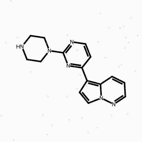 c1cnn2ccc(-c3ccnc(N4CCNCC4)n3)c2c1